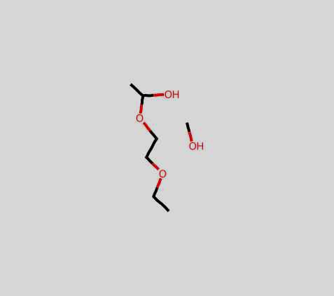 CCOCCOC(C)O.CO